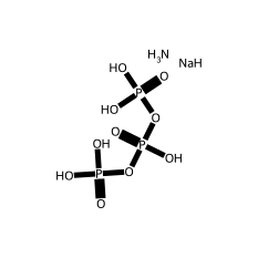 N.O=P(O)(O)OP(=O)(O)OP(=O)(O)O.[NaH]